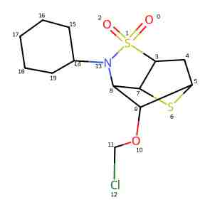 O=S1(=O)C2CC3SC2C(C3OCCl)N1C1CCCCC1